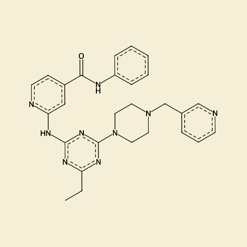 CCc1nc(Nc2cc(C(=O)Nc3ccccc3)ccn2)nc(N2CCN(Cc3cccnc3)CC2)n1